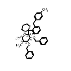 CC[C@H]1O[C@@](O)(C2(c3ccccc3Cc3ccc(C)cc3)SCCCS2)[C@H](OCc2ccccc2)[C@@H](OCc2ccccc2)[C@@H]1C